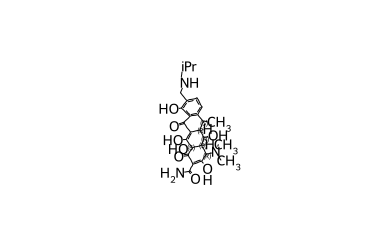 CC(C)CNCc1ccc2c(c1O)C(=O)C1=C(O)[C@]3(O)C(=O)C(C(N)=O)=C(O)[C@H](N(C)C)[C@H]3[C@H](O)[C@@H]1[C@@H]2C